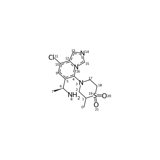 CC1CN(c2c([C@H](C)N)cc(Cl)c3cncn23)CCS1(=O)=O